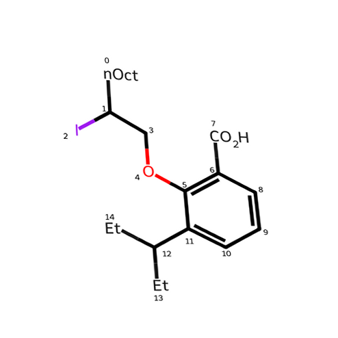 CCCCCCCCC(I)COc1c(C(=O)O)cccc1C(CC)CC